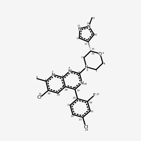 Cc1nc2nc(N3CCO[C@@H](c4cnn(C)c4)C3)nc(-c3ccc(Cl)cc3F)c2cc1Cl